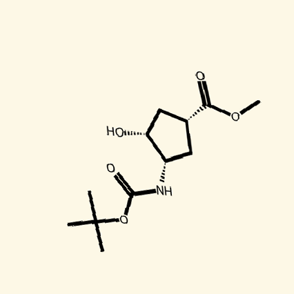 COC(=O)[C@H]1C[C@@H](O)[C@@H](NC(=O)OC(C)(C)C)C1